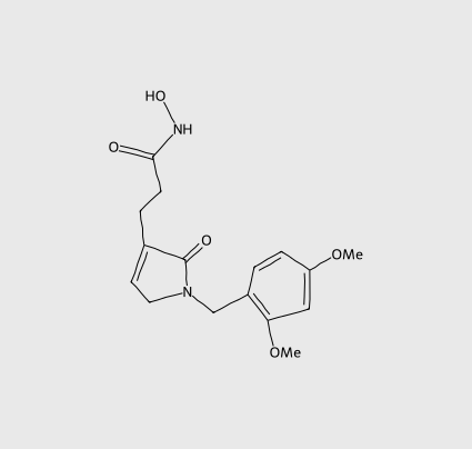 COc1ccc(CN2CC=C(CCC(=O)NO)C2=O)c(OC)c1